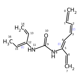 C=C/C=C\C=C(/C=C)NC(=O)N/C(C=C)=C/C